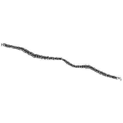 B=BB=BB=BB=BB=BB=BB=BB=BB=BB=BB=BB=BB=BB=BB=BB=BB=BB=BB=BB=BB=BB=BB=BB=BB=BB=BB=BB=BB=BB=BB=BB=BB=BB=BB=BB=BB=BB=BB=BB=BB=BB=BB=BB=BC